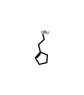 CCCCCCC1=CC[CH]C1